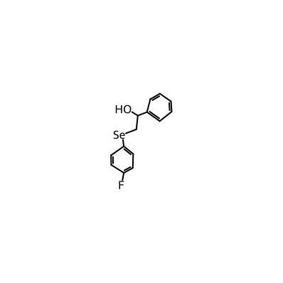 OC(C[Se]c1ccc(F)cc1)c1ccccc1